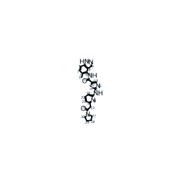 Cc1ccc2[nH]ncc2c1NC(=O)c1cnc(Nc2cccc(CC(=O)N3CCCC3)n2)s1